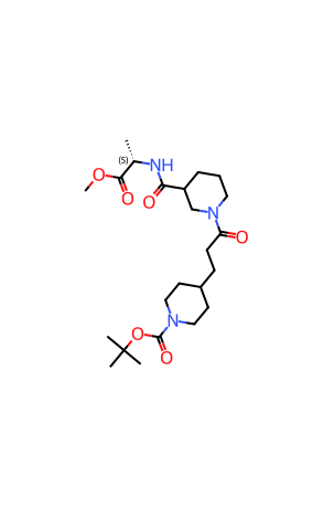 COC(=O)[C@H](C)NC(=O)C1CCCN(C(=O)CCC2CCN(C(=O)OC(C)(C)C)CC2)C1